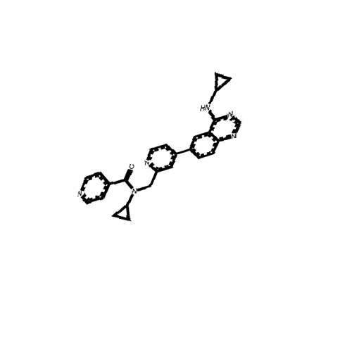 O=C(c1ccncc1)N(Cc1cc(-c2ccc3ncnc(NC4CC4)c3c2)ccn1)C1CC1